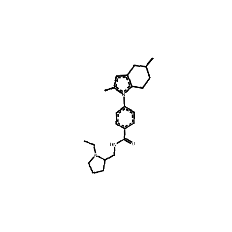 CCN1CCCC1CNC(=O)c1ccc(-n2c(C)cc3c2CCC(C)C3)cc1